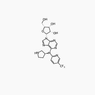 OC[C@H]1O[C@@H](n2cnc3c(N(c4ccc(C(F)(F)F)cn4)[C@H]4CCNC4)ncnc32)[C@@H](O)[C@H]1O